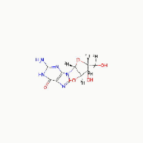 [2H]C(C)(O)[C@@]1([2H])O[C@@]([2H])(n2cnc3c(=O)[nH]c(N)nc32)[C@]([2H])(O)[C@]1([2H])O